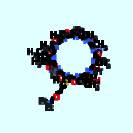 C/C=C/C[C@@H](C)[C@@H](O)[C@H]1C(=O)N[C@@H](CC)C(=O)N(C)[C@H](CSCCCCOCCN(CC)CC)C(=O)N(C)[C@@H](CC(C)(C)O)C(=O)N[C@@H](C(C)C)C(=O)N(C)[C@@H](CC(C)C)C(=O)N[C@@H](C)C(=O)N[C@H](C)C(=O)N(C)[C@@H](CC(C)C)C(=O)N(C)[C@@H](CC(C)C)C(=O)N(C)[C@@H](C(C)C)C(=O)N1C